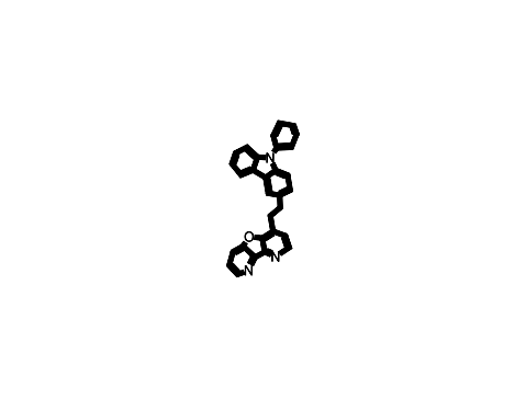 c1ccc(-n2c3ccccc3c3cc(CCc4ccnc5c4oc4cccnc45)ccc32)cc1